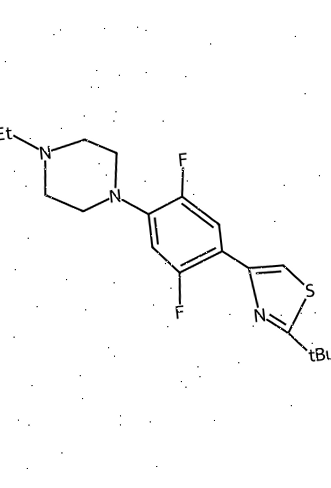 CCN1CCN(c2cc(F)c(-c3csc(C(C)(C)C)n3)cc2F)CC1